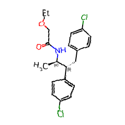 CCOCC(=O)N[C@H](C)[C@H](Cc1ccc(Cl)cc1)c1ccc(Cl)cc1